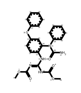 COC(=O)N=C(NC(=O)OC)Nc1ccc(Sc2ccccc2)cc1N(C(N)=O)c1ccccc1